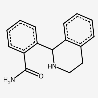 NC(=O)c1ccccc1C1NCCc2ccccc21